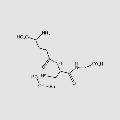 CC(C)(C)OO.NC(CCC(=O)NC(CS)C(=O)NCC(=O)O)C(=O)O